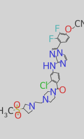 CS(=O)(=O)C1CCN(CCN2CCN(C(=O)c3ccc(Nc4nccn5c(-c6ccc(OCC#N)c(F)c6F)cnc45)cc3Cl)CC2)C1